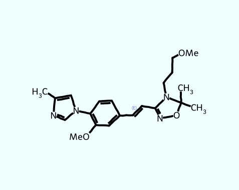 COCCCN1C(/C=C/c2ccc(-n3cnc(C)c3)c(OC)c2)=NOC1(C)C